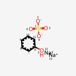 O=S(=O)([O-])[O-].Oc1ccccc1.[Na+].[Na+]